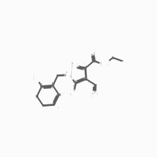 CCOC(=O)c1nn(CC2=C(F)CCC=C2)c(Cl)c1C=O